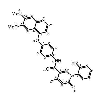 CCc1ccccc1-n1nc(C(=O)Nc2ccc(Oc3ccnc4cc(OC)c(OC)cc34)cc2)c(C)cc1=O